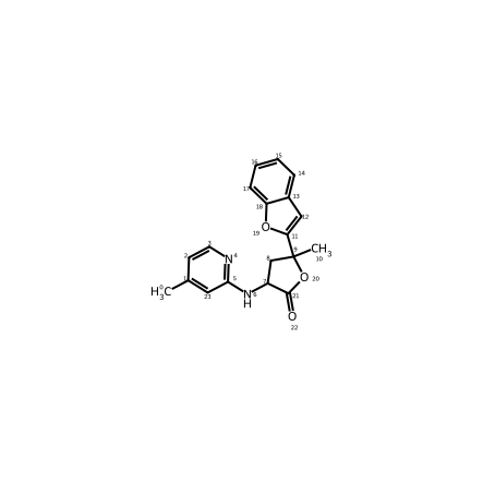 Cc1ccnc(NC2CC(C)(c3cc4ccccc4o3)OC2=O)c1